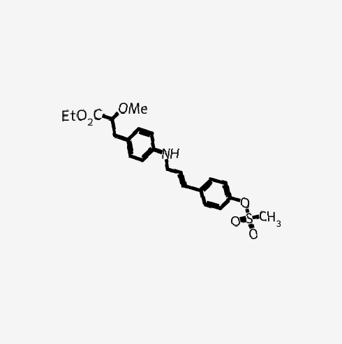 CCOC(=O)C(Cc1ccc(NCC=Cc2ccc(OS(C)(=O)=O)cc2)cc1)OC